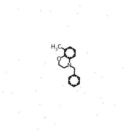 Cc1cccc2c1OCCN2Cc1ccccc1